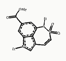 CCN1c2cc(C(=O)OC)cc3c2c(cn3CC)C=CS1(=O)=O